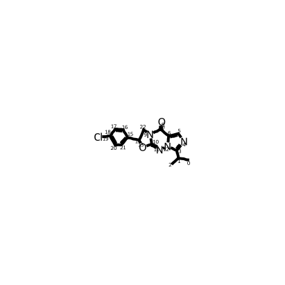 CC(C)c1ncc2c(=O)n3c(nn12)OC(c1ccc(Cl)cc1)C3